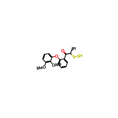 COc1cccc(Oc2ccccc2C(=O)C(SS)C(C)C)c1OC